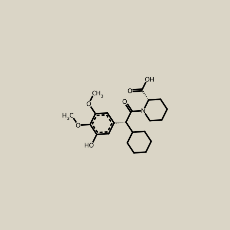 COc1cc([C@H](C(=O)N2CCCC[C@H]2C(=O)O)C2CCCCC2)cc(O)c1OC